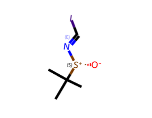 CC(C)(C)[S@@+]([O-])/N=C/I